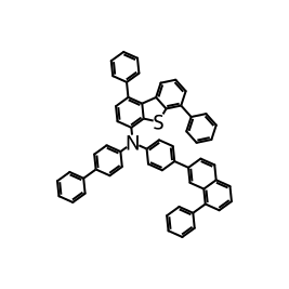 c1ccc(-c2ccc(N(c3ccc(-c4ccc5cccc(-c6ccccc6)c5c4)cc3)c3ccc(-c4ccccc4)c4c3sc3c(-c5ccccc5)cccc34)cc2)cc1